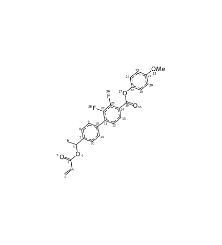 C=CC(=O)OC(C)c1ccc(-c2ccc(C(=O)Oc3ccc(OC)cc3)c(F)c2F)cc1